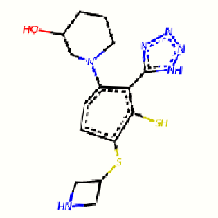 OC1CCCN(c2ccc(SC3CNC3)c(S)c2-c2nnn[nH]2)C1